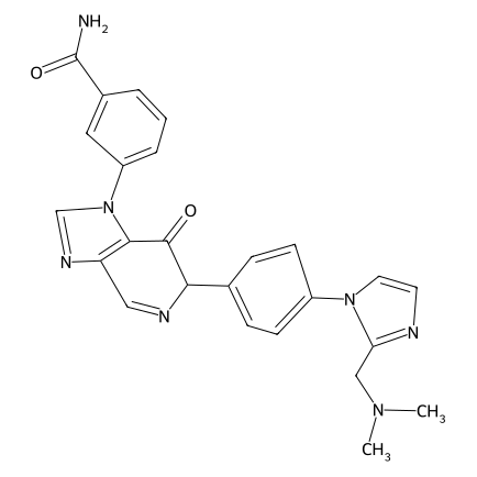 CN(C)Cc1nccn1-c1ccc(C2N=Cc3ncn(-c4cccc(C(N)=O)c4)c3C2=O)cc1